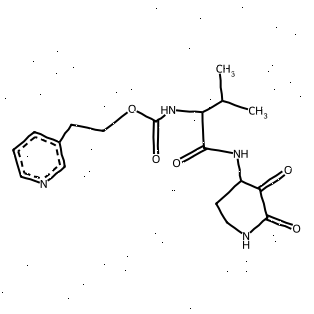 CC(C)C(NC(=O)OCCc1cccnc1)C(=O)NC1CCNC(=O)C1=O